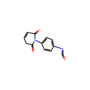 O=C=Nc1ccc(N2C(=O)C=CCC2=O)cc1